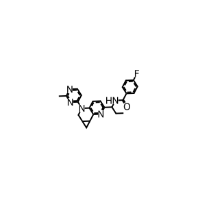 CCC(NC(=O)c1ccc(F)cc1)c1ccc2c(n1)C1CC1CN2c1ccnc(C)n1